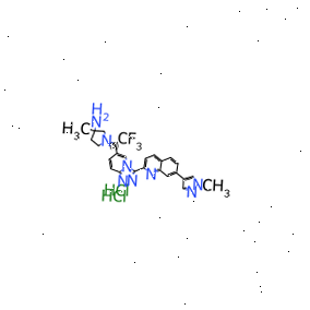 Cl.Cl.Cn1cc(-c2ccc3ccc(-c4nnc5ccc([C@H](N6CCC(C)(N)C6)C(F)(F)F)cn45)nc3c2)cn1